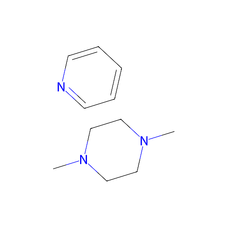 CN1CCN(C)CC1.c1ccncc1